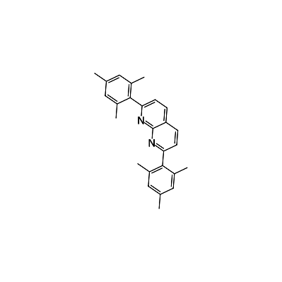 Cc1cc(C)c(-c2ccc3ccc(-c4c(C)cc(C)cc4C)nc3n2)c(C)c1